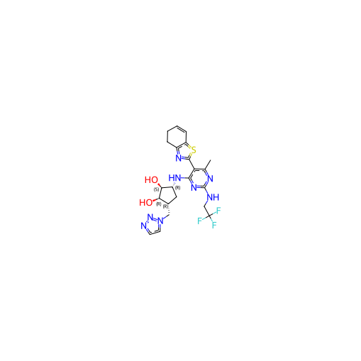 Cc1nc(NCC(F)(F)F)nc(N[C@@H]2C[C@H](Cn3ccnn3)[C@@H](O)[C@H]2O)c1-c1nc2c(s1)C=CCC2